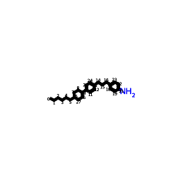 CCCCCCC1CCC(c2ccc(CCCc3ccc(N)cc3)cc2)CC1